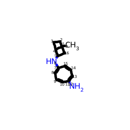 CC12CCC1C(NC1=C/C=C\C(N)=C/C=C\1)C2